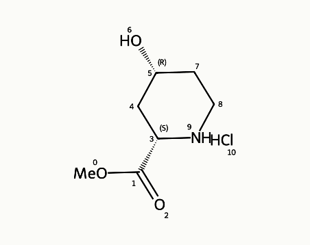 COC(=O)[C@@H]1C[C@H](O)CCN1.Cl